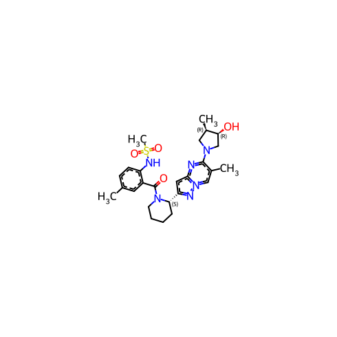 Cc1ccc(NS(C)(=O)=O)c(C(=O)N2CCCC[C@H]2c2cc3nc(N4C[C@@H](C)[C@@H](O)C4)c(C)cn3n2)c1